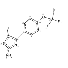 Cc1sc(N)nc1-c1ccc(OC(F)(F)F)cc1